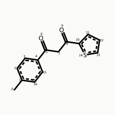 Cc1ccc(C(=O)CC(=O)c2cccs2)cc1